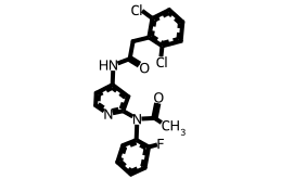 CC(=O)N(c1cc(NC(=O)Cc2c(Cl)cccc2Cl)ccn1)c1ccccc1F